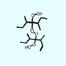 CCC(C)C(OO)(OOC(OO)(C(C)CC)C(C)CC)C(C)CC